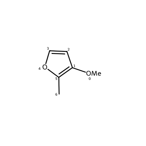 COc1ccoc1C